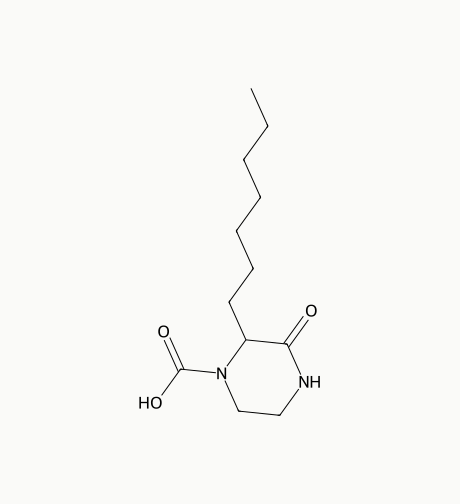 CCCCCCCC1C(=O)NCCN1C(=O)O